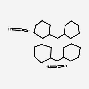 C1CCC(CC2CCCCC2)CC1.C1CCC(CC2CCCCC2)CC1.N=C=O.N=C=O